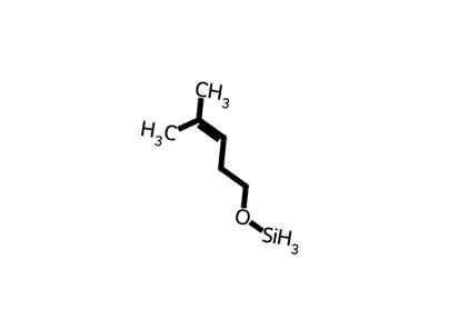 CC(C)=CCCO[SiH3]